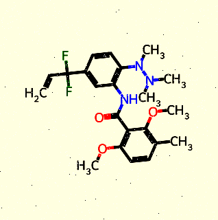 C=CC(F)(F)c1ccc(N(C)N(C)C)c(NC(=O)c2c(OC)ccc(C)c2OC)c1